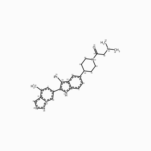 Cc1cc(-c2[nH]c3ccc(C4CCN(C(=O)CN(C)C)CC4)cc3c2C(C)C)cn2nncc12